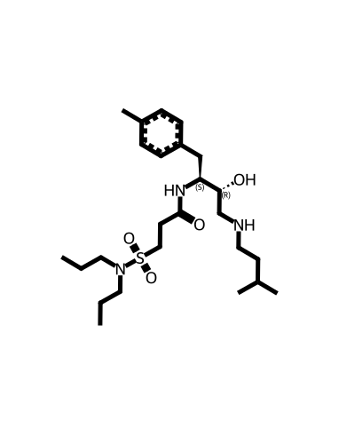 CCCN(CCC)S(=O)(=O)CCC(=O)N[C@@H](Cc1ccc(C)cc1)[C@H](O)CNCCC(C)C